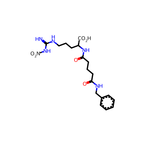 N=C(NCCCC(NC(=O)CCCC(=O)NCc1ccccc1)C(=O)O)N[N+](=O)[O-]